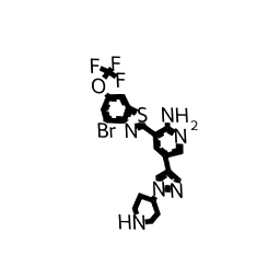 Nc1ncc(-c2cnn(C3CCNCC3)c2)cc1-c1nc2c(Br)cc(OC(F)(F)F)cc2s1